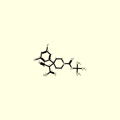 CC(C)(C)OC(=O)N1CCC(c2cc(F)cc(Cl)c2)(C(C#N)C(=O)O)CC1